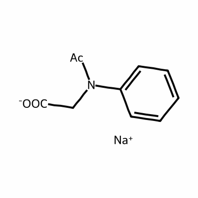 CC(=O)N(CC(=O)[O-])c1ccccc1.[Na+]